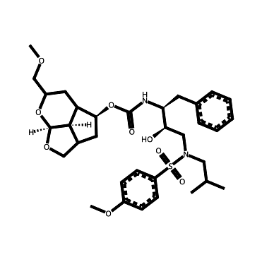 COCC1CC2[C@H]3C(CO[C@H]3O1)C[C@@H]2OC(=O)N[C@@H](Cc1ccccc1)[C@H](O)CN(CC(C)C)S(=O)(=O)c1ccc(OC)cc1